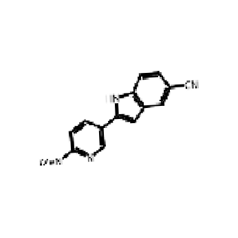 CNc1ccc(-c2cc3cc(C#N)ccc3[nH]2)cn1